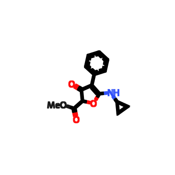 COC(=O)C1OC(NC2CC2)=C(c2ccccc2)C1=O